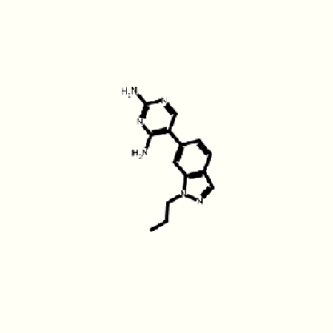 CCCn1ncc2ccc(-c3cnc(N)nc3N)cc21